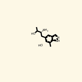 Cc1cc(C[C@@H](N)C(C)O)cc2cn[nH]c12.Cl